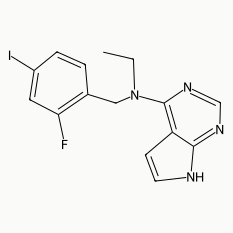 CCN(Cc1ccc(I)cc1F)c1ncnc2[nH]ccc12